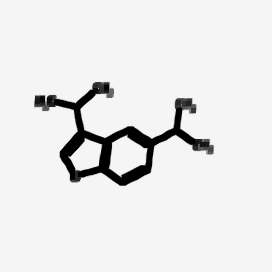 CC(C)c1ccc2occ(C(C)C)c2c1